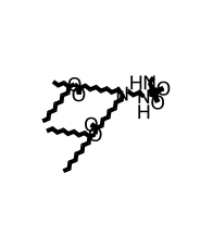 CCCCCCCCC(CCC)OC(=O)CCCCCCCN(CCCCCCCC(=O)OC(CCCCCCCC)CCCCCCCC)CCCNc1c(NC)c(=O)c1=O